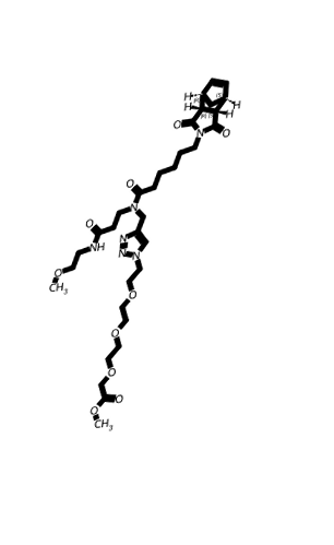 COCCNC(=O)CCN(Cc1cn(CCOCCOCCOCC(=O)OC)nn1)C(=O)CCCCCN1C(=O)[C@@H]2[C@H](C1=O)[C@H]1C=C[C@@H]2C1